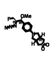 CO[C@H](c1ccc(N2C[C@@H]3CS(=O)(=O)C[C@@H]3C2)cc1)[C@@H](CF)N=[N+]=[N-]